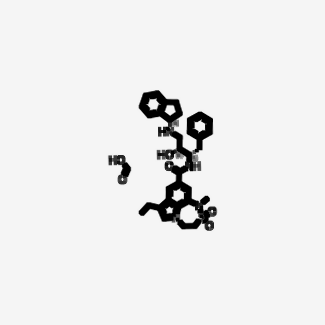 CCc1cn2c3c(cc(C(=O)N[C@@H](Cc4ccccc4)[C@H](O)CN[C@H]4CCc5ccccc54)cc13)N(C)S(=O)(=O)CC2.O=CO